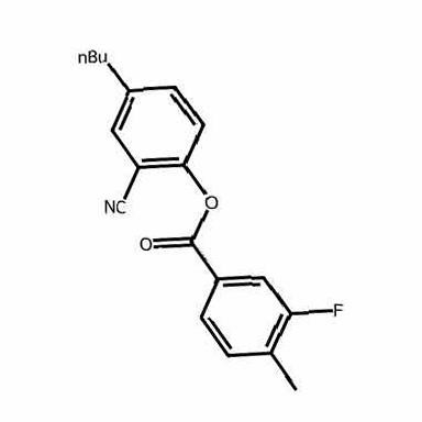 CCCCc1ccc(OC(=O)c2ccc(C)c(F)c2)c(C#N)c1